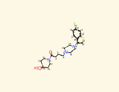 O=C(CCCN1CCN(c2csc3cc(F)ccc23)CC1)N1CCC(O)CC1